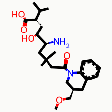 COC[C@@H]1Cc2ccccc2N(C(=O)CC(C)(C)C[C@H](N)[C@@H](O)C[C@H](C(=O)O)C(C)C)C1